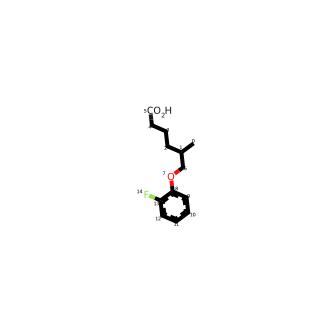 CC(CCCC(=O)O)COc1ccccc1F